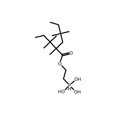 CCC(C)(C)CC(C)(C(=O)OCC[PH](O)(O)O)C(C)(C)CC